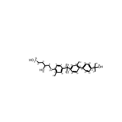 CCC(CC)(c1ccc(OCC(O)CCC(=O)O)c(C)c1)c1ccc(-c2ccc(C(C)(C)O)cc2)c(C)c1